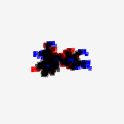 CC[C@H](C)[C@H](NC(=O)[C@@H](NC(=O)[C@@H](NC(=O)[C@H](CO)NC(=O)CNC(=O)[C@H](CC(=O)O)NC(=O)[C@H](CCC(=O)O)NC(=O)[C@H](CCCCN)NC(=O)[C@H](CCCNC(=N)N)NC(=O)[C@@H]1CCCN1)[C@@H](C)O)C(C)C)C(=O)N[C@@H](CC(C)C)C(=O)N[C@@H](Cc1ccccc1)C(=O)N[C@@H](Cc1ccc(O)cc1)C(=O)N[C@@H](Cc1c[nH]c2ccccc12)C(=O)N[C@@H](CC(N)=O)C(=O)N[C@@H](CCC(N)=O)C(=O)O